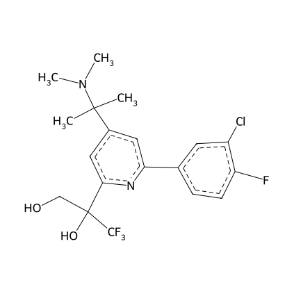 CN(C)C(C)(C)c1cc(-c2ccc(F)c(Cl)c2)nc(C(O)(CO)C(F)(F)F)c1